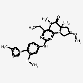 CCc1nc(Nc2ccc(-n3cnc(C)c3)c(OC)c2)nc2c1N(C)C(=O)[C@]1(C)C[C@@H](OC)CN21